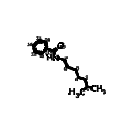 CC(C)CCCCCNC(=O)c1ccccc1